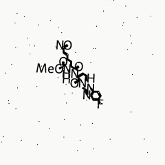 COC(=O)NC(CCC=CC(=O)N(C)C)C(=O)Nc1cccn(Cc2nc3cc(F)ccc3[nH]2)c1=O